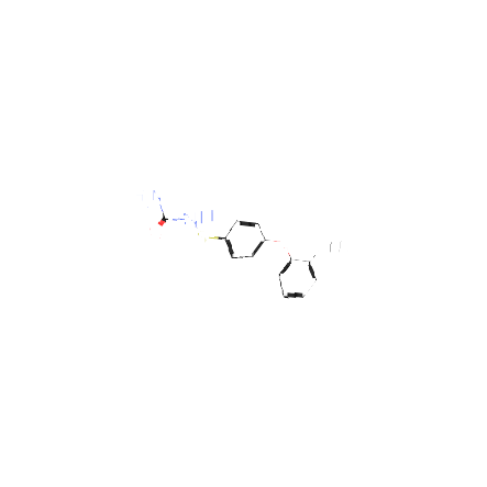 Cc1ccccc1Oc1ccc(SNC(N)=O)cc1